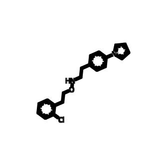 Clc1ccccc1CCONCCc1ccc(-n2cccc2)cc1